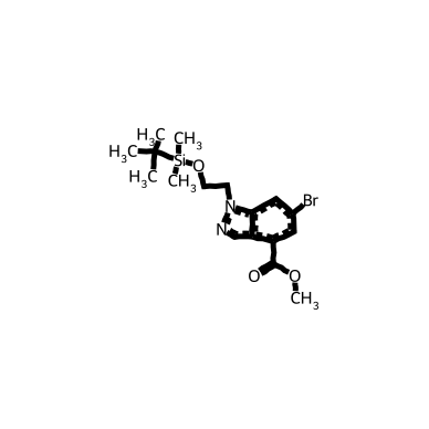 COC(=O)c1cc(Br)cc2c1cnn2CCO[Si](C)(C)C(C)(C)C